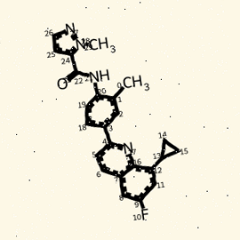 Cc1cc(-c2ccc3cc(F)cc(C4CC4)c3n2)ccc1NC(=O)c1ccnn1C